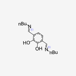 CCCC/N=C/c1ccc(/C=N/CCCC)c(O)c1O